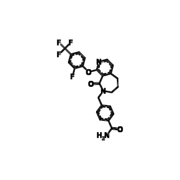 NC(=O)c1ccc(CN2CCCc3ccnc(Oc4ccc(C(F)(F)F)cc4F)c3C2=O)cc1